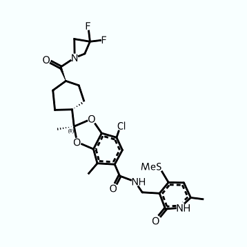 CSc1cc(C)[nH]c(=O)c1CNC(=O)c1cc(Cl)c2c(c1C)O[C@@](C)([C@H]1CC[C@H](C(=O)N3CC(F)(F)C3)CC1)O2